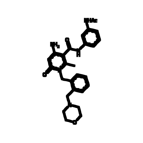 CC(=O)Nc1cccc(NC(=O)c2c(N)cc(=O)n(Cc3ccccc3CN3CCOCC3)c2C)c1